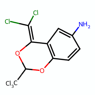 Nc1ccc2c(c1)C(=C(Cl)Cl)OC(C(Cl)(Cl)Cl)O2